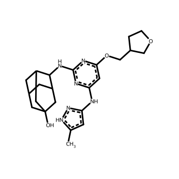 Cc1cc(Nc2cc(OCC3CCOC3)nc(NC3C4CC5CC3CC(O)(C5)C4)n2)n[nH]1